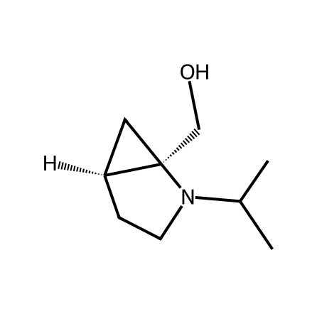 CC(C)N1CC[C@H]2C[C@]21CO